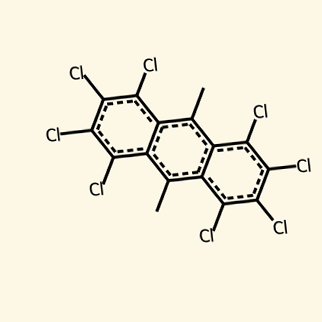 Cc1c2c(Cl)c(Cl)c(Cl)c(Cl)c2c(C)c2c(Cl)c(Cl)c(Cl)c(Cl)c12